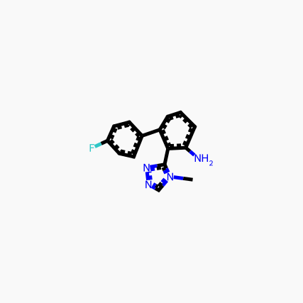 Cn1cnnc1-c1c(N)cccc1-c1ccc(F)cc1